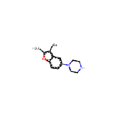 CCCCc1c(C(=O)O)oc2ccc(N3CCNCC3)cc12